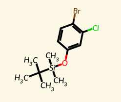 CC(C)(C)[Si](C)(C)Oc1ccc(Br)c(Cl)c1